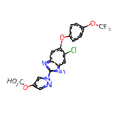 O=C(O)Oc1cnn(-c2nc3cc(Oc4ccc(OC(F)(F)F)cc4)c(Cl)cc3[nH]2)c1